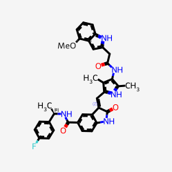 COc1cccc2[nH]c(CC(=O)Nc3c(C)[nH]c(/C=C4\C(=O)Nc5ccc(C(=O)N[C@H](C)c6ccc(F)cc6)cc54)c3C)cc12